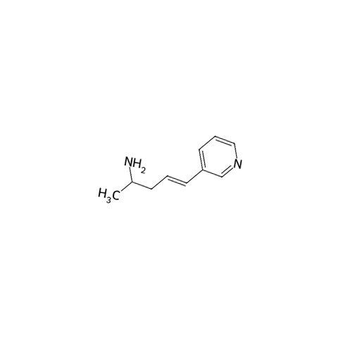 CC(N)CC=Cc1cccnc1